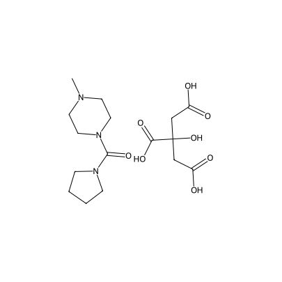 CN1CCN(C(=O)N2CCCC2)CC1.O=C(O)CC(O)(CC(=O)O)C(=O)O